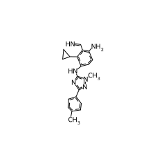 Cc1ccc(-c2nc(Nc3ccc(N)c(C=N)c3C3CC3)n(C)n2)cc1